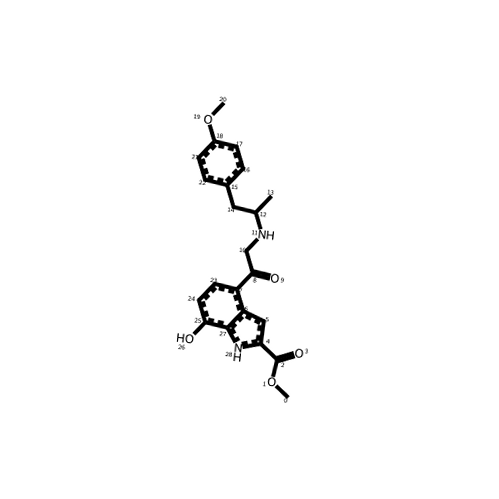 COC(=O)c1cc2c(C(=O)CNC(C)Cc3ccc(OC)cc3)ccc(O)c2[nH]1